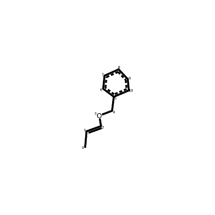 C/C=C/OCc1ccccc1